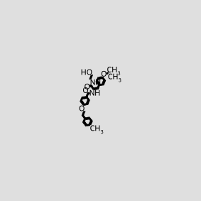 Cc1ccc(CCOc2ccc(C(=O)NC(=Cc3ccc(OC(C)C)cc3)C(=O)NCCO)cc2)cc1